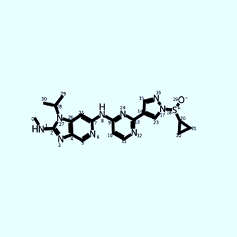 CNc1nc2cnc(Nc3ccnc(-c4cnn([S+]([O-])C5CC5)c4)n3)cc2n1C(C)C